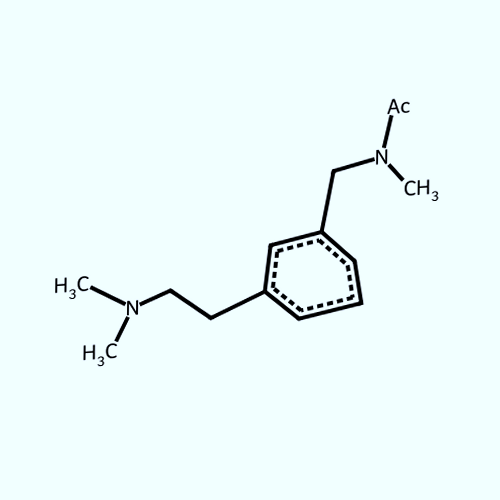 CC(=O)N(C)Cc1cccc(CCN(C)C)c1